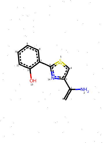 C=C(N)c1csc(-c2ccccc2O)n1